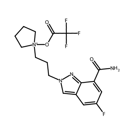 NC(=O)c1cc(F)cc2cn(CCC[N+]3(OC(=O)C(F)(F)F)CCCC3)nc12